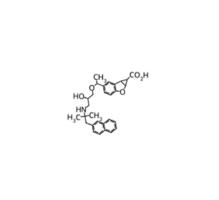 CC(OC[C@H](O)CNC(C)(C)Cc1ccc2ccccc2c1)c1ccc2c(c1)C1C(O2)C1C(=O)O